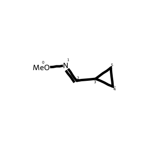 CON=CC1[CH]C1